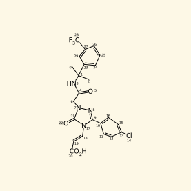 CC(C)(NC(=O)Cn1nc(-c2ccc(Cl)cc2)n(/C=C/C(=O)O)c1=O)c1cccc(C(F)(F)F)c1